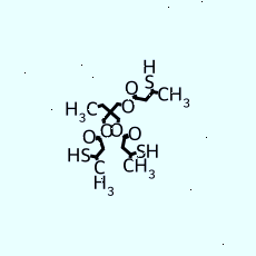 CCC(COC(=O)CC(C)S)(COC(=O)CC(C)S)COC(=O)CC(C)S